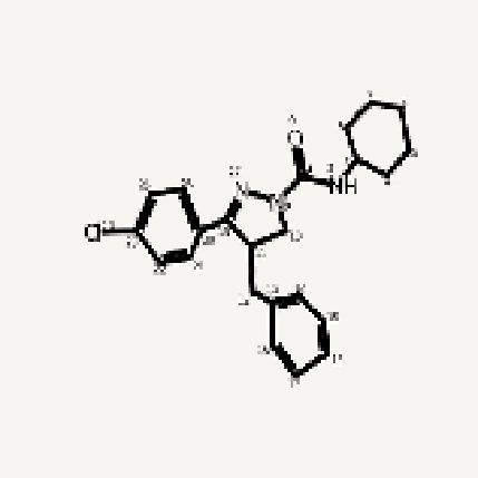 O=C(NC1CCCCC1)N1CC(Cc2ccccc2)C(c2ccc(Cl)cc2)=N1